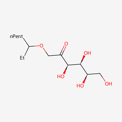 CCCCCC(CC)OCC(=O)[C@H](O)[C@@H](O)[C@H](O)CO